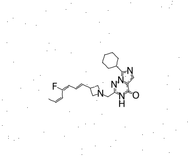 C\C=C/C(F)=C\C=C\C1CN(Cc2nn3c(C4CCCCC4)ncc3c(=O)[nH]2)C1